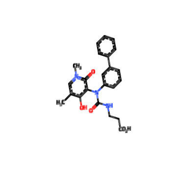 Cc1cn(C)c(=O)c(N(C(=O)NCCC(=O)O)c2cccc(-c3ccccc3)c2)c1O